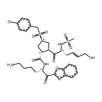 CS(=O)(=O)N[C@H](C/C=C/CO)C(=O)N1C[C@H](S(=O)(=O)Cc2ccc(Cl)cc2)C[C@H]1C(=O)N[C@@H](CCCCN)C(=O)c1nc2ccccc2o1